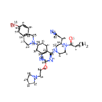 C=CC(=O)N1CCN(c2nc(OCCN3CCCC3)nc3c2CCC(N2CCc4cc(Br)ccc4C2)C3)CC1CC#N